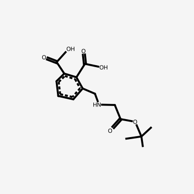 CC(C)(C)OC(=O)CNCc1cccc(C(=O)O)c1C(=O)O